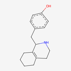 Oc1ccc(CC2NCCC3=C2CCCC3)cc1